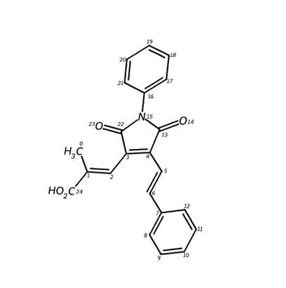 CC(=CC1=C(C=Cc2ccccc2)C(=O)N(c2ccccc2)C1=O)C(=O)O